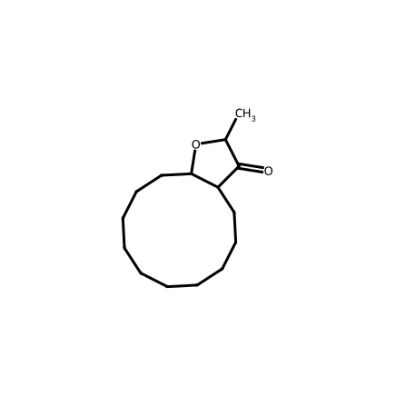 CC1OC2CCCCCCCCCCC2C1=O